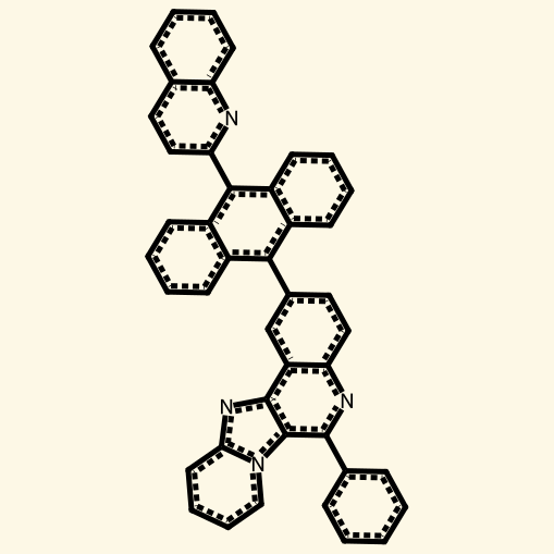 c1ccc(-c2nc3ccc(-c4c5ccccc5c(-c5ccc6ccccc6n5)c5ccccc45)cc3c3nc4ccccn4c23)cc1